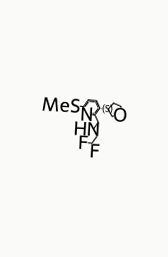 CSc1ccc([C@@H]2CCOC2)c(CNCC(F)F)n1